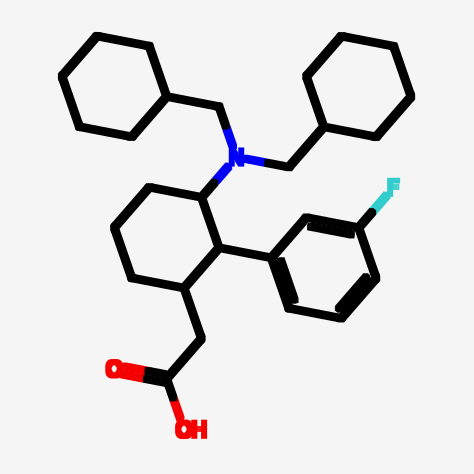 O=C(O)CC1CCCC(N(CC2CCCCC2)CC2CCCCC2)C1c1cccc(F)c1